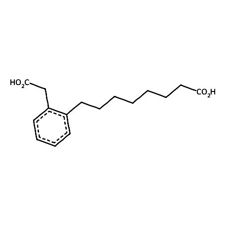 O=C(O)CCCCCCCc1ccccc1CC(=O)O